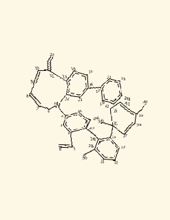 C=Cc1cc(N2C/C=C\C=C/C(=C)c3ccc(-c4ccccc4)cc32)ccc1-c1c(C)cccc1C1(C)C=CC(C)=CC1